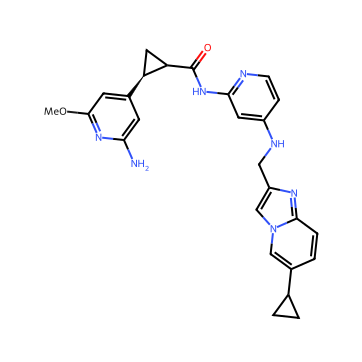 COc1cc([C@H]2CC2C(=O)Nc2cc(NCc3cn4cc(C5CC5)ccc4n3)ccn2)cc(N)n1